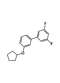 Fc1cc(F)cc(-c2cccc(OC3CCCC3)c2)c1